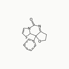 O=C1N=C2CCOC2(c2ccccc2)C2SC=CN12